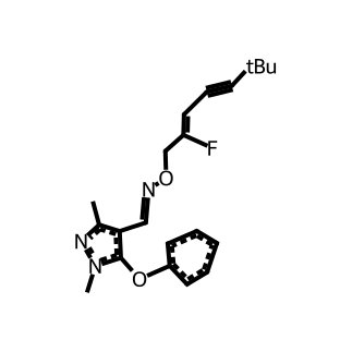 Cc1nn(C)c(Oc2ccccc2)c1C=NOCC(F)=CC#CC(C)(C)C